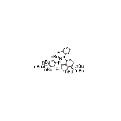 CCCCN(P(c1ccc([Si](CCCC)(CCCC)CCCC)cc1)c1ccccc1F)P(c1ccc([Si](CCCC)(CCCC)CCCC)cc1)c1ccccc1F